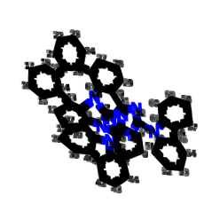 c1ccc2c(c1)nc1n2c2cccc3c4ccccc4c4ccccc4c4cccc(-c5nc(-n6c7ccccc7c7ccccc76)nc(-n6c7ccccc7c7ccccc76)n5)c4n1c32